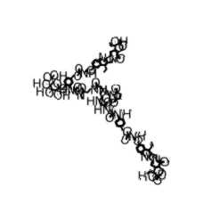 C=C1OCc2c(cc3n(c2=O)Cc2c-3nc3ccc(OCNC(=O)OCc4ccc(O[C@@H]5O[C@H](C(=O)O)[C@@H](O)[C@H](O)[C@H]5O)c(NC(=O)CN(C)C(=O)CCNC(=O)CN(CCN5C(=O)C=CC5=O)CC(=O)N[C@@H](C)C(=O)N[C@@H](C)C(=O)Nc5ccc(COC(=O)NCOc6ccc7nc8c(c(CC)c7c6)Cn6c-8cc7c(c6=O)COC(=O)[C@]7(O)CC)cc5)c4)cc3c2CC)[C@@]1(O)CC